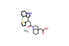 C.O=C(O)CC12CCCC(C1)N(C(=O)CC(c1cccs1)c1c[nH]c3cccc(F)c13)CC2